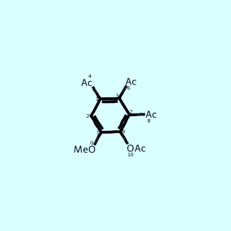 COc1cc(C(C)=O)c(C(C)=O)c(C(C)=O)c1OC(C)=O